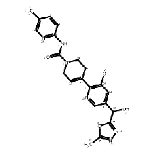 Cc1ccc(NC(=O)N2CC=C(c3ncc(C(O)c4nnc(C)o4)cc3Cl)CC2)nc1